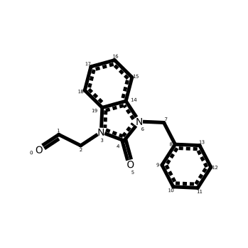 O=CCn1c(=O)n(Cc2ccccc2)c2ccccc21